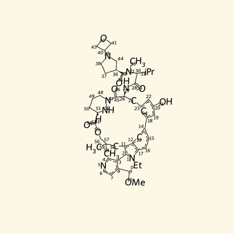 CCn1c(-c2cnccc2COC)c2c3cc(ccc31)-c1cc(O)cc(c1)C[C@H](NC(=O)C(C(C)C)N(C)C(=O)[C@H]1CCN(C3COC3)C1)C(=O)N1CCC[C@H](N1)C(=O)OCC(C)(C)C2